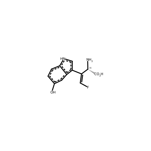 N[C@H](C(=O)O)C(=CF)c1c[nH]c2ccc(O)cc12